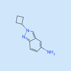 Nc1ccc2nn(C3CCC3)cc2c1